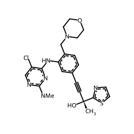 CNc1ncc(Cl)c(Nc2cc(C#C[C@@](C)(O)c3nccs3)ccc2CN2CCOCC2)n1